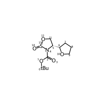 CC(C)(C)OC(=O)N1[C@@H](C2CCCO2)COS1=O